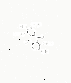 O=Cc1cc2c(c(C=O)c1O)C(=O)c1ccc(O)c(C=O)c1C2=O